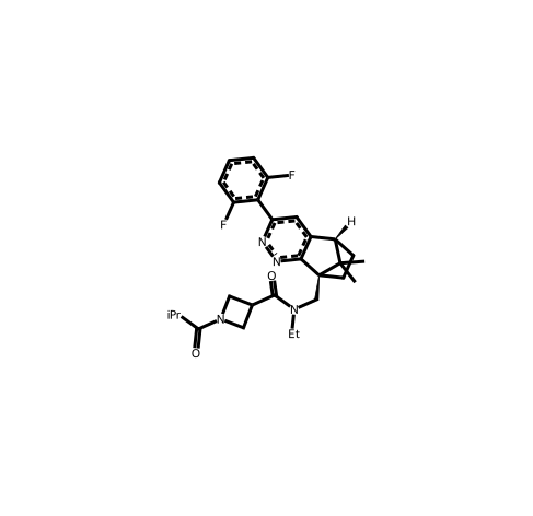 CCN(C[C@@]12CC[C@@H](c3cc(-c4c(F)cccc4F)nnc31)C2(C)C)C(=O)C1CN(C(=O)C(C)C)C1